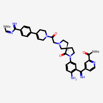 CN/C=N\C(=N)c1ccc(C2=CCN(C(=O)CN3CC[C@]4(CCN(c5ccc(N)c(C(=N)c6ccnc(C(=O)NC)c6)c5)C4=O)C3)CC2)cc1